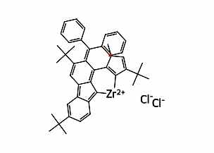 CC1=C(c2c3c(cc(C(C)(C)C)c2=C(c2ccccc2)c2ccccc2)=c2cc(C(C)(C)C)ccc2=[C]3[Zr+2])C(C)C=C1C(C)(C)C.[Cl-].[Cl-]